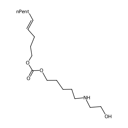 CCCCCC=CCCCOC(=O)OCCCCCNCCO